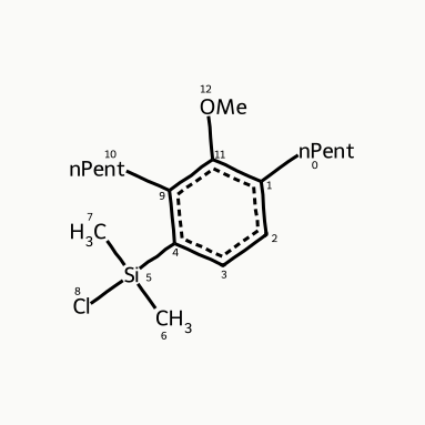 CCCCCc1ccc([Si](C)(C)Cl)c(CCCCC)c1OC